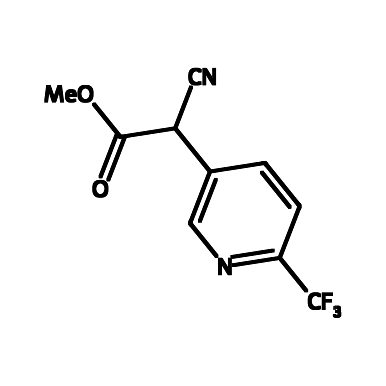 COC(=O)C(C#N)c1ccc(C(F)(F)F)nc1